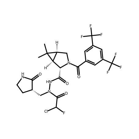 CC1(C)[C@@H]2[C@@H](C(=O)NN(C[C@@H]3CCNC3=O)C(=O)C(F)Cl)N(C(=O)c3cc(C(F)(F)F)cc(C(F)(F)F)c3)C[C@@H]21